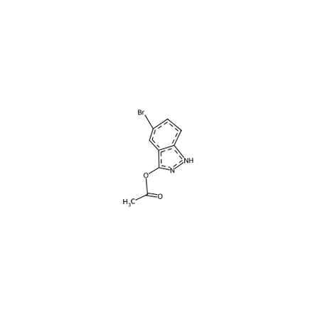 CC(=O)Oc1n[nH]c2ccc(Br)cc12